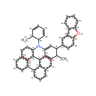 CC1C=CC(N(c2ccccc2-c2cccc3cccc(-c4ccccc4)c23)C2C=CC=CC2C)=CC1c1ccc2oc3ccccc3c2c1